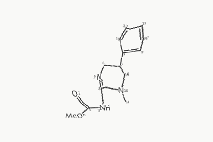 COC(=O)NC1=NCC(c2ccccc2)CN1C